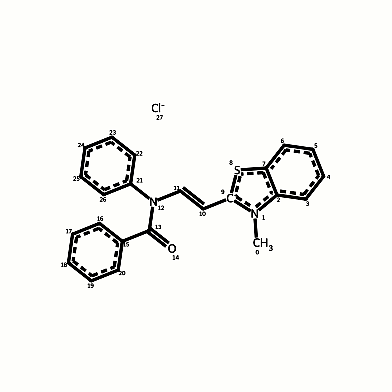 Cn1c2ccccc2s[c+]1C=CN(C(=O)c1ccccc1)c1ccccc1.[Cl-]